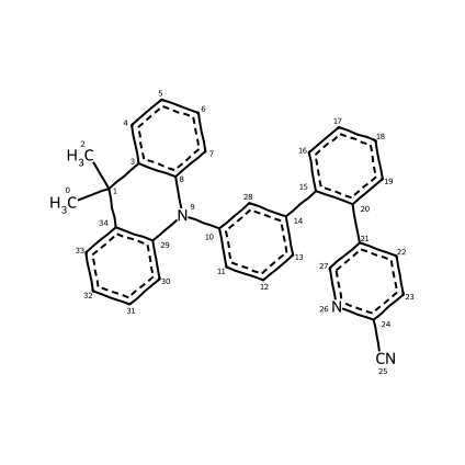 CC1(C)c2ccccc2N(c2cccc(-c3ccccc3-c3ccc(C#N)nc3)c2)c2ccccc21